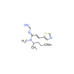 COCCC(C)N(C)C(/C=C/c1cncs1)=N/C=N